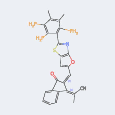 C/C(C#N)=C1/C(=C/c2cc3sc(-c4c(P)c(C)c(C)c(P)c4P)nc3o2)C(=O)c2ccccc21